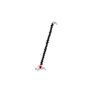 C=C(C)C(=O)OCCCCCCCCCCCCCCCCCCCCCCCCCCCCCCCCCCCCCCCC